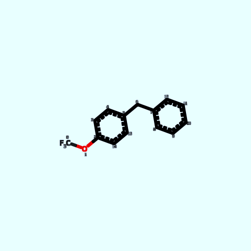 FC(F)(F)Oc1ccc([CH]c2ccccc2)cc1